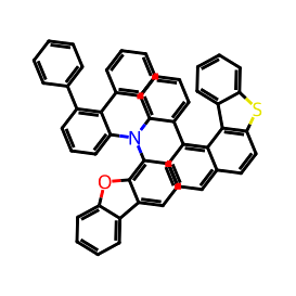 c1ccc(-c2cccc(N(c3ccccc3-c3cccc4ccc5sc6ccccc6c5c34)c3cccc4c3oc3ccccc34)c2-c2ccccc2)cc1